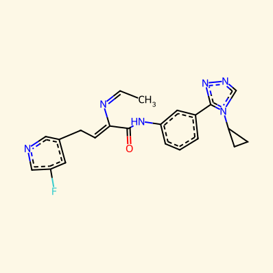 C/C=N\C(=C/Cc1cncc(F)c1)C(=O)Nc1cccc(-c2nncn2C2CC2)c1